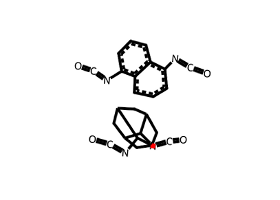 O=C=NC1C2CC3CC1CC(C2)C3N=C=O.O=C=Nc1cccc2c(N=C=O)cccc12